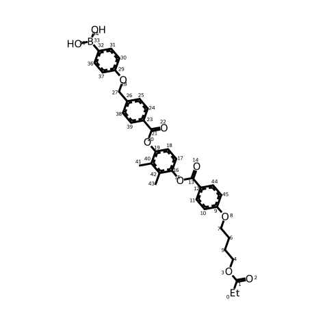 CCC(=O)OCCCCOc1ccc(C(=O)Oc2ccc(OC(=O)c3ccc(COc4ccc(B(O)O)cc4)cc3)c(C)c2C)cc1